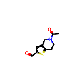 CC(=O)N1CCc2sc(C=O)cc2C1